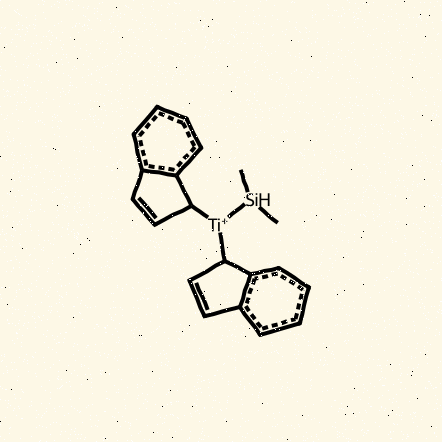 C[SiH](C)[Ti+]([CH]1C=Cc2ccccc21)[CH]1C=Cc2ccccc21